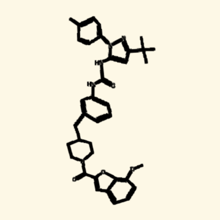 COc1cccc2cc(C(=O)N3CCC(Cc4cccc(NC(=O)Nc5cc(C(C)(C)C)nn5-c5ccc(C)cc5)c4)CC3)oc12